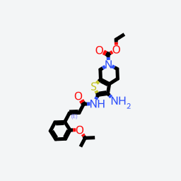 CCOC(=O)N1CCc2c(sc(NC(=O)/C=C/c3ccccc3OC(C)C)c2N)C1